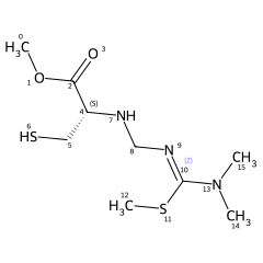 COC(=O)[C@@H](CS)NC/N=C(\SC)N(C)C